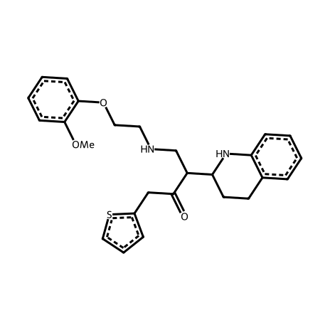 COc1ccccc1OCCNCC(C(=O)Cc1cccs1)C1CCc2ccccc2N1